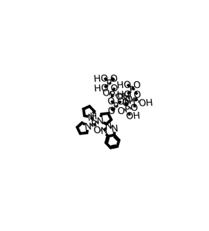 O=P(O)(O)OP(=O)(O)OP(=O)(O)OP(=O)(O)OP(=O)(O)OP(=O)(O)O.c1ccc2c(c1)nnn2O[PH](N1CCCC1)(N1CCCC1)N1CCCC1